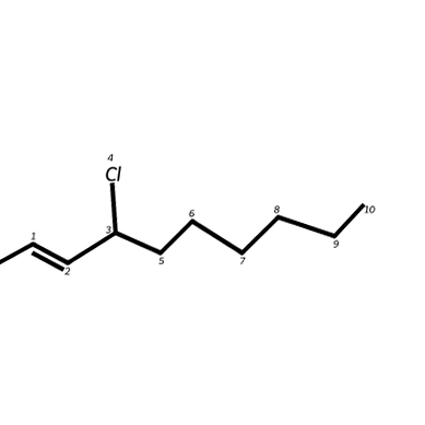 CC=CC(Cl)CCCCCC